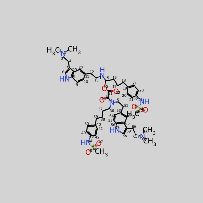 CN(C)CCc1c[nH]c2ccc(CCNC(CCCc3ccc(NS(C)(=O)=O)cc3)OC(=O)C(=O)N(CCCCc3ccc(NS(C)(=O)=O)cc3)CCc3ccc4[nH]cc(CCN(C)C)c4c3)cc12